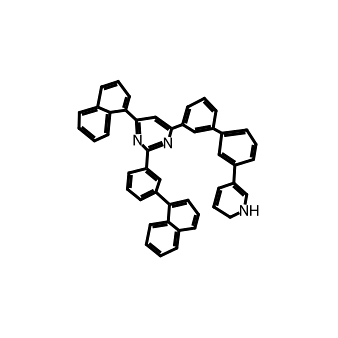 C1=CC(c2cccc(-c3cccc(-c4cc(-c5cccc6ccccc56)nc(-c5cccc(-c6cccc7ccccc67)c5)n4)c3)c2)=CNC1